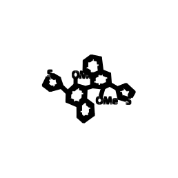 COc1c(-c2ccsc2)cc2ccccc2c1-c1c(OC)c(-c2ccsc2)cc2ccccc12